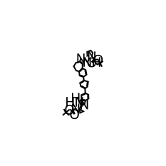 CC(C)(C)OC(=O)NC1(c2nc3ccc(-c4ccc(-c5ccc6c(c5)CCCc5nc([C@@H]7CCCN7C(=O)OC(C)(C)C)[nH]c5-6)cc4)cc3[nH]2)CC1